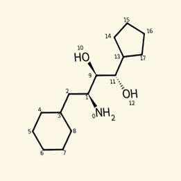 N[C@@H](CC1CCCCC1)[C@@H](O)[C@@H](O)C1CCCC1